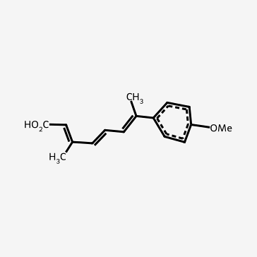 COc1ccc(C(C)=CC=CC(C)=CC(=O)O)cc1